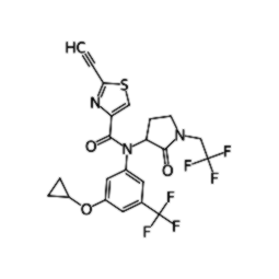 C#Cc1nc(C(=O)N(c2cc(OC3CC3)cc(C(F)(F)F)c2)C2CCN(CC(F)(F)F)C2=O)cs1